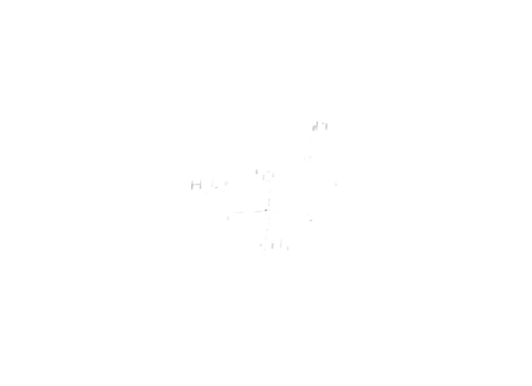 C=CC1(C)CCC(C(C)C)O1